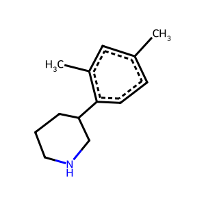 Cc1ccc(C2CCCNC2)c(C)c1